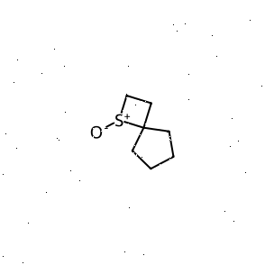 [O-][S+]1CCC12CCCC2